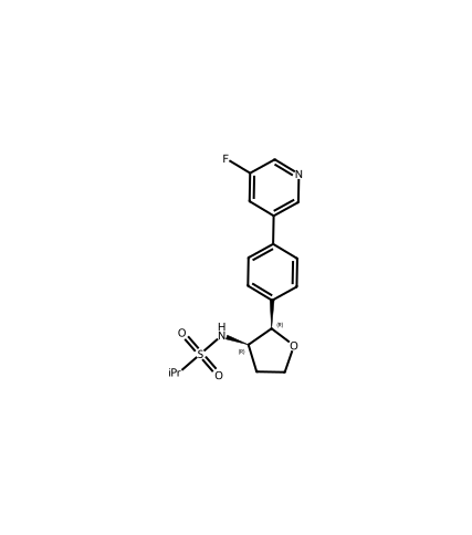 CC(C)S(=O)(=O)N[C@@H]1CCO[C@@H]1c1ccc(-c2cncc(F)c2)cc1